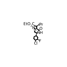 CCOC(=O)c1nn2cc(-c3ccc(Cl)c(F)c3)[nH]c(=O)c2c1C(C)C